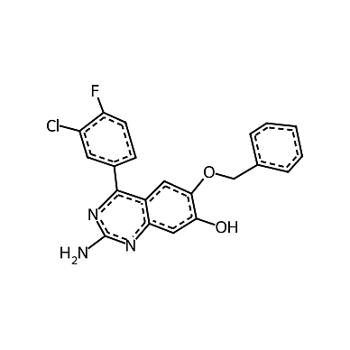 Nc1nc(-c2ccc(F)c(Cl)c2)c2cc(OCc3ccccc3)c(O)cc2n1